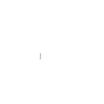 O=C(O)CCc1cc2c(c(Cl)c1O)Oc1cc(O)c3ccccc3c1C21CC(=O)c2ccccc21